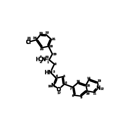 N[C@@H](CNc1cc(-c2ccc3cnccc3c2)on1)Cc1cccc(Cl)c1